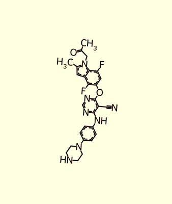 CC(=O)Cn1c(C)cc2c(F)c(Oc3ncnc(Nc4ccc(N5CCNCC5)cc4)c3C#N)cc(F)c21